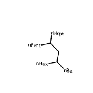 CCCCCCCC(CCCCC)CC(CCCC)CCCCCC